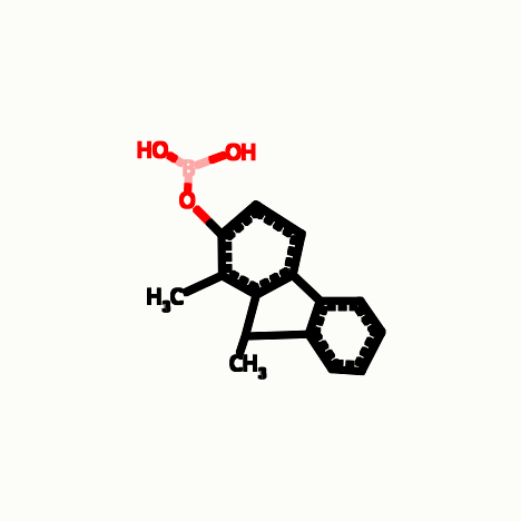 Cc1c(OB(O)O)ccc2c1C(C)c1ccccc1-2